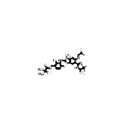 CC(NC(=O)c1cc2nc(Nc3c(Cl)ccc(CNC(=O)C(C)(C)C)c3Cl)n(C)c2cc1OCC(F)F)C(F)(F)F